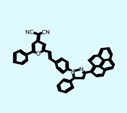 N#CC(C#N)=C1C=C(/C=C/c2ccc(N3N=C(c4ccc5ccc6cccc7ccc4c5c67)CC3c3ccccc3)cc2)OC(c2ccccc2)=C1